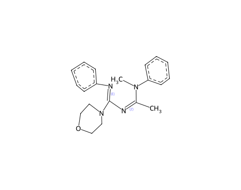 C/C(=N/C(=N/c1ccccc1)N1CCOCC1)N(C)c1ccccc1